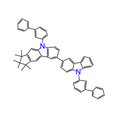 CC1(C)c2cc3c4cc(-c5ccc6c(c5)c5ccccc5n6-c5cccc(-c6ccccc6)c5)ccc4n(-c4cccc(-c5ccccc5)c4)c3cc2C(C)(C)C1(C)C